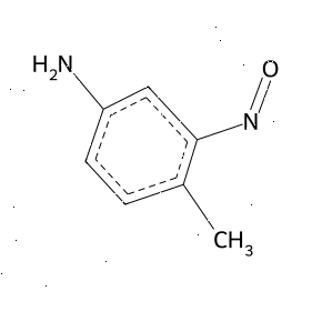 Cc1ccc(N)cc1N=O